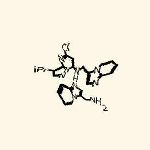 CC(C)c1cnn2c(NCc3cnc4ccccn34)cc(Cl)nc12.NCc1cnc2ccccn12